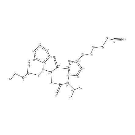 CCOC(=O)CC(c1ccccc1)N1CC(=O)N(C(C)C)c2ccc(CCCCCC#N)cc2C1=O